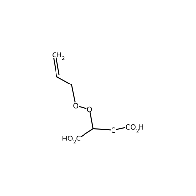 C=CCOOC(CC(=O)O)C(=O)O